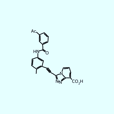 CC(=O)c1cccc(C(=O)Nc2ccc(C)c(C#Cc3nnc4c(C(=O)O)cccn34)c2)c1